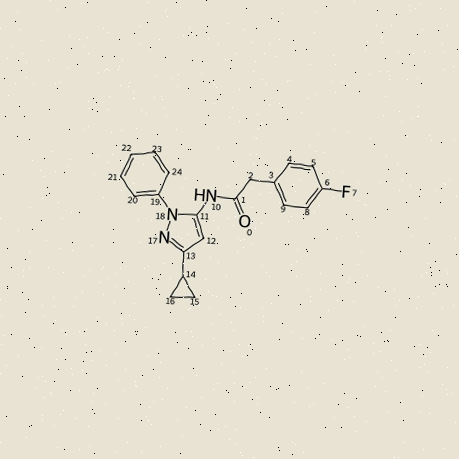 O=C(Cc1ccc(F)cc1)Nc1cc(C2CC2)nn1-c1ccccc1